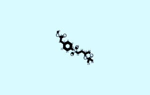 COC(=O)Cc1ccc(S(=O)(=O)CCC2COC(C)(C)O2)cc1